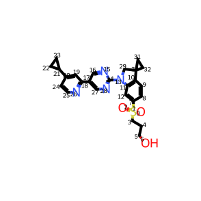 O=S(=O)(CCCO)c1ccc2c(c1)N(c1ncc(-c3cc(C4CC4)ccn3)cn1)CC21CC1